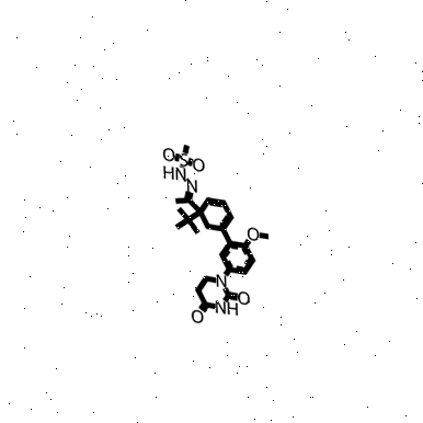 COc1ccc(N2CCC(=O)NC2=O)cc1C1=CC=CC(C(C)=NNS(C)(=O)=O)(C(C)(C)C)C1